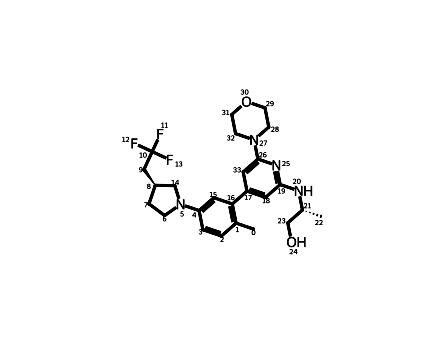 Cc1ccc(N2CC[C@@H](CC(F)(F)F)C2)cc1-c1cc(N[C@H](C)CO)nc(N2CCOCC2)c1